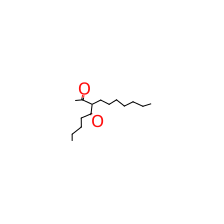 CCCCCCCC(C(C)=O)C(=O)CCCC